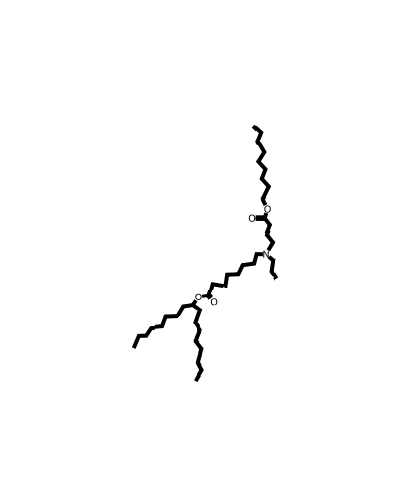 CCCCCCCCCOC(=O)CCCN(CCC)CCCCCCCC(=O)OC(CCCCCCCC)CCCCCCCC